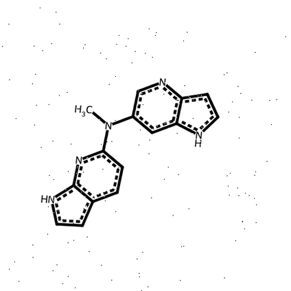 CN(c1cnc2cc[nH]c2c1)c1ccc2cc[nH]c2n1